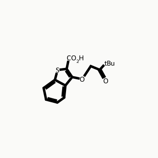 CC(C)(C)C(=O)COc1c(C(=O)O)sc2ccccc12